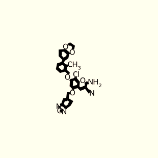 Cc1c(COc2cc(OCc3ccc4nonc4c3)c(C=C(C#N)C(N)=O)cc2Cl)cccc1-c1ccc2c(c1)OCCO2